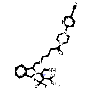 N#Cc1ccc(N2CCN(C(=O)CCCOCC3c4ccccc4CN3/C(C=N)=C(/C(N)=O)C(F)(F)F)CC2)nc1